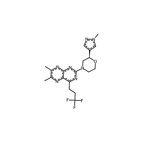 Cc1nc2nc(N3CCO[C@H](c4cnn(C)c4)C3)nc(CCC(F)(F)F)c2nc1C